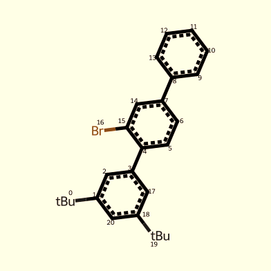 CC(C)(C)c1cc(-c2ccc(-c3ccccc3)cc2Br)cc(C(C)(C)C)c1